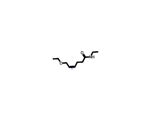 CCNC(=O)CC/C=C\COCC